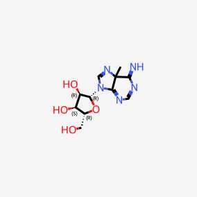 CC12N=CN([C@@H]3O[C@H](CO)[C@@H](O)[C@H]3O)C1=NC=NC2=N